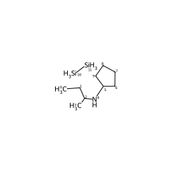 CCC(C)NC1CCCC1.[SiH3][SiH3]